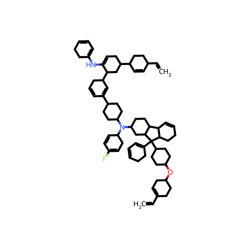 C=CC1=CCC(OC2CCC(C3(C4=CC=CCC4)C4CCC=CC4C4CCC(N(C5C=CC(F)=CC5)C5CCC(C6=CC(C7CC(C8C=CC(C=C)CC8)CC=C7NC7=CC=CCC7)CC=C6)CC5)CC43)CC2)CC1